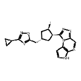 I[C@@H]1C[C@@H](Cc2nc(C3CC3)no2)C[C@@H]1c1nnc2cnc3[nH]ccc3n12